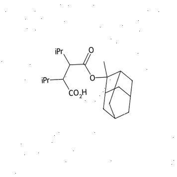 CC(C)C(C(=O)O)C(C(=O)OC1(C)C2CC3CC(C2)CC1C3)C(C)C